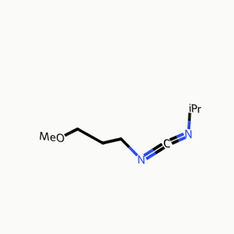 COCCCN=C=NC(C)C